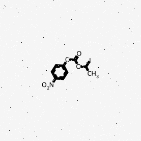 CC(I)OC(=O)Oc1ccc([N+](=O)[O-])cc1